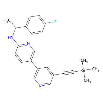 C[C@@H](Nc1ccc(-c2cncc(C#C[Si](C)(C)C)c2)cn1)c1ccc(F)cc1